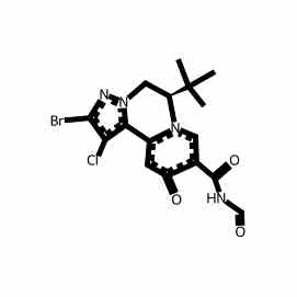 CC(C)(C)[C@@H]1Cn2nc(Br)c(Cl)c2-c2cc(=O)c(C(=O)NC=O)cn21